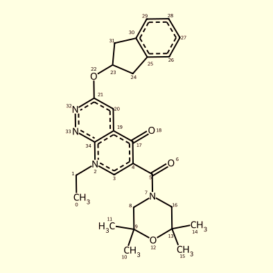 CCn1cc(C(=O)N2CC(C)(C)OC(C)(C)C2)c(=O)c2cc(OC3Cc4ccccc4C3)nnc21